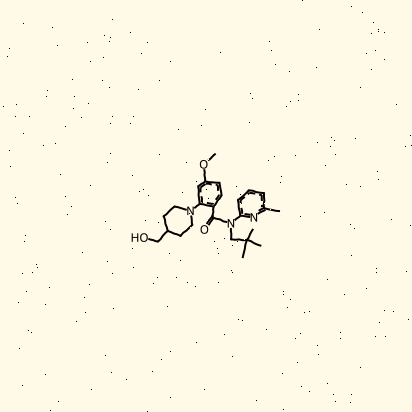 COc1ccc(C(=O)N(CC(C)(C)C)c2cccc(C)n2)c(N2CCC(CO)CC2)c1